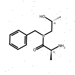 C[C@H](N)C(=O)N(Cc1ccccc1)C[C@@H](C)O